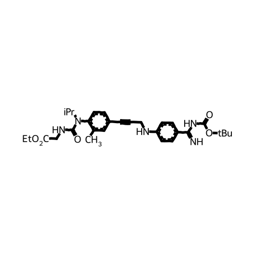 CCOC(=O)CNC(=O)N(c1ccc(C#CCNc2ccc(C(=N)NC(=O)OC(C)(C)C)cc2)cc1C)C(C)C